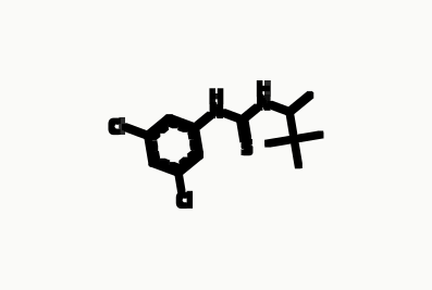 CC(NC(=S)Nc1cc(Cl)cc(Cl)c1)C(C)(C)C